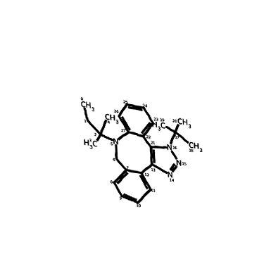 CCC(C)(C)N1Cc2ccccc2-c2nnn(C(C)(C)C)c2-c2ccccc21